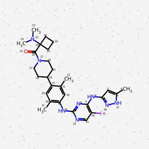 Cc1cc(Nc2nc(Nc3cc(C)c(C4CCN(C(=O)C5(N(C)C)CCC5)CC4)cc3C)ncc2I)n[nH]1